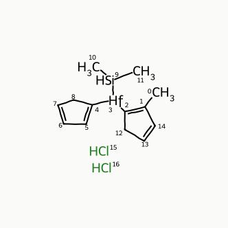 CC1=[C]([Hf]([C]2=CC=CC2)[SiH](C)C)CC=C1.Cl.Cl